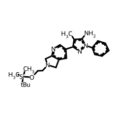 Cc1c(-c2cnc3c(c2)CN(CCO[Si](C)(C)C(C)(C)C)C3)nn(-c2ccccc2)c1N